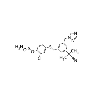 CC(C)(C#N)c1cc(CSc2ccc(OSON)c(Cl)c2)cc(Cn2cncn2)c1